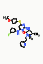 COc1ccc(Sc2cc(Nc3cccc(F)c3)nc(N[C@@H](CC(C)C)C(=O)NCCc3ccccn3)n2)cc1